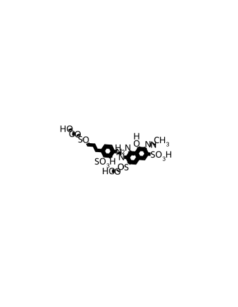 C/N=N/c1c(S(=O)(=O)O)cc2cc(SOOO)c(/N=N/c3ccc(CCCOSOOO)cc3S(=O)(=O)O)c(N)c2c1O